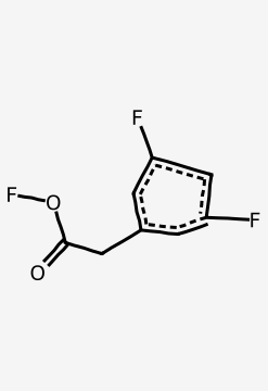 O=C(Cc1cc(F)cc(F)c1)OF